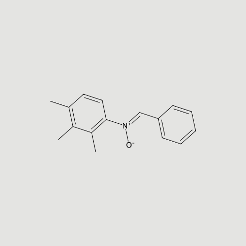 Cc1ccc([N+]([O-])=Cc2ccccc2)c(C)c1C